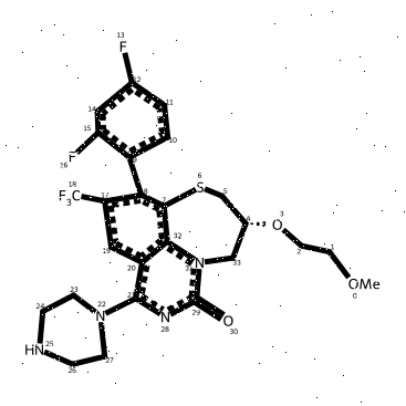 COCCO[C@H]1CSc2c(-c3ccc(F)cc3F)c(C(F)(F)F)cc3c(N4CCNCC4)nc(=O)n(c23)C1